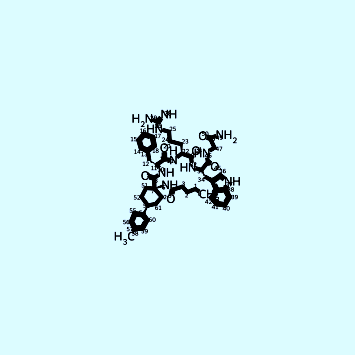 CCCCC(=O)N[C@]1(C(=O)N[C@H](Cc2ccccc2)C(=O)N[C@@H](CCCNC(=N)N)C(=O)N[C@@H](Cc2c[nH]c3ccccc23)C(=O)NCC(N)=O)CC[C@H](c2ccc(C)cc2)CC1